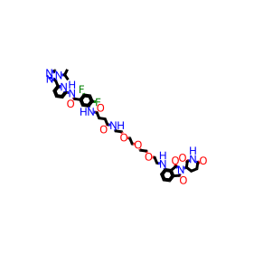 CC(C)n1cnnc1-c1cccc(NC(=O)c2cc(NC(=O)CCC(=O)NCCOCCOCCOCCNc3cccc4c3C(=O)N(C3CCC(=O)NC3=O)C4=O)c(F)cc2F)n1